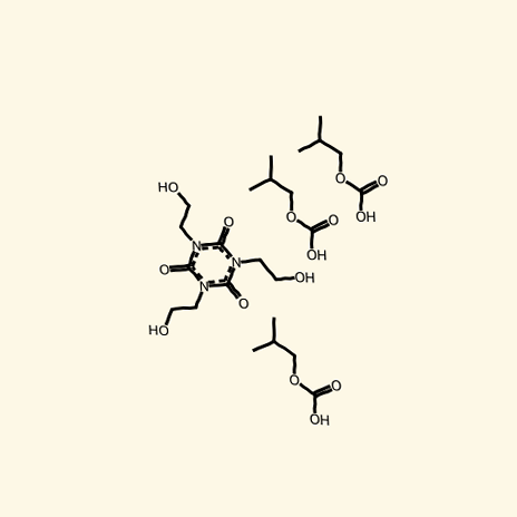 CC(C)COC(=O)O.CC(C)COC(=O)O.CC(C)COC(=O)O.O=c1n(CCO)c(=O)n(CCO)c(=O)n1CCO